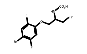 CC(C)CC(COc1cc(F)c(Br)cc1F)NC(=O)O